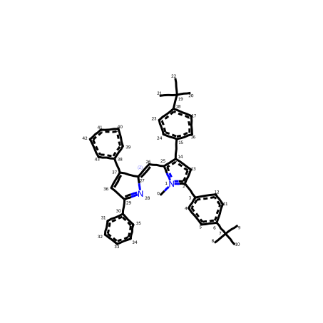 Cn1c(-c2ccc(C(C)(C)C)cc2)cc(-c2ccc(C(C)(C)C)cc2)c1/C=C1\N=C(c2ccccc2)C=C1c1ccccc1